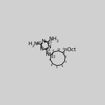 CCCCCCCCC1CCCCCCCCC1.Nc1nc(N)nc(N)n1